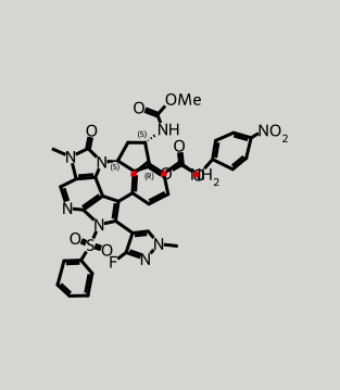 COC(=O)N[C@H]1C[C@H](n2c(=O)n(C)c3cnc4c(c(-c5ccc(CN)cc5)c(-c5cn(C)nc5F)n4S(=O)(=O)c4ccccc4)c32)C[C@H]1OC(=O)Oc1ccc([N+](=O)[O-])cc1